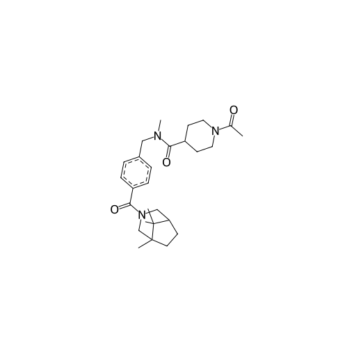 CC(=O)N1CCC(C(=O)N(C)Cc2ccc(C(=O)N3CC4CCC(C)(C3)C4(C)C)cc2)CC1